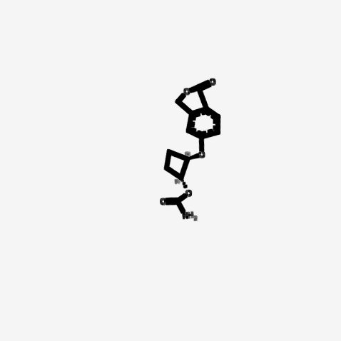 NC(=O)O[C@@H]1CC[C@H]1Oc1ccc2c(c1)COC2=O